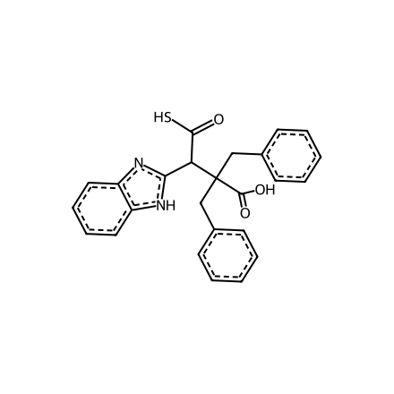 O=C(S)C(c1nc2ccccc2[nH]1)C(Cc1ccccc1)(Cc1ccccc1)C(=O)O